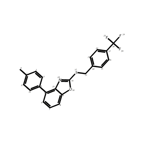 Cc1ccc(-c2cccc3oc(SCc4ccc(C(F)(F)F)cc4)nc23)cc1